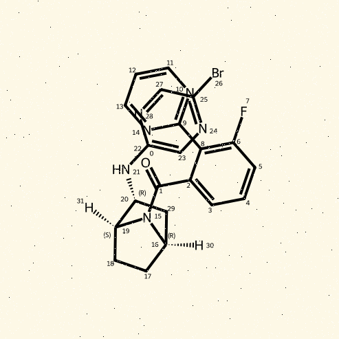 O=C(c1cccc(F)c1-c1ncccn1)N1[C@@H]2CC[C@H]1[C@H](Nc1cnc(Br)cn1)C2